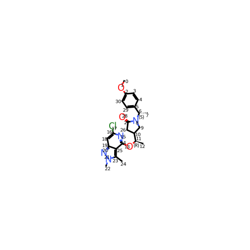 COc1ccc([C@H](C)N2CC([C@@H](C)Oc3nc(Cl)cc4nn(C)c(C)c34)CC2=O)cc1